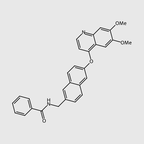 COc1cc2nccc(Oc3ccc4cc(CNC(=O)c5ccccc5)ccc4c3)c2cc1OC